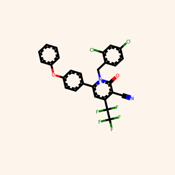 N#Cc1c(C(F)(F)C(F)(F)F)cc(-c2ccc(Oc3ccccc3)cc2)n(Cc2ccc(Cl)cc2Cl)c1=O